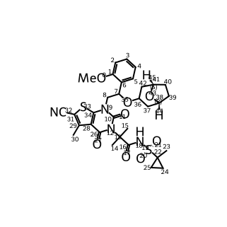 COc1ccccc1C(Cn1c(=O)n(C(C)(C)C(=O)NS(=O)(=O)C2(C)CC2)c(=O)c2c(C)c(C#N)sc21)OC1C[C@H]2CC[C@@H](C1)O2